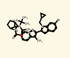 Cc1c(-c2cc3ccc(Br)cc3n2CC2CC2)nn2cc(C(=O)N3CC4CCC3[C@@H]4N(C(=O)O)C(C)(C)C)ccc12